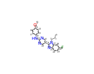 CCCn1c(-c2cnc(Nc3ccc(OC)cc3)nc2)nc2ccc(F)cc21